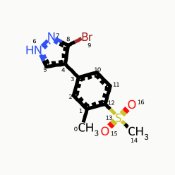 Cc1cc(-c2c[nH]nc2Br)ccc1S(C)(=O)=O